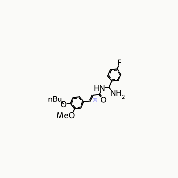 CCCCOc1ccc(/C=C/C(=O)NC(N)c2ccc(F)cc2)cc1OC